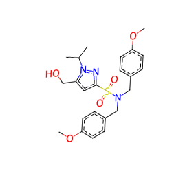 COc1ccc(CN(Cc2ccc(OC)cc2)S(=O)(=O)c2cc(CO)n(C(C)C)n2)cc1